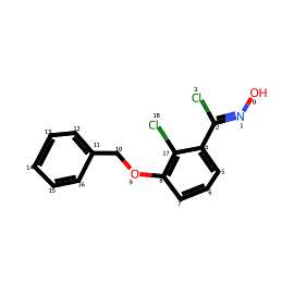 ON=C(Cl)c1cccc(OCc2ccccc2)c1Cl